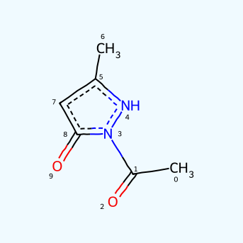 CC(=O)n1[nH]c(C)cc1=O